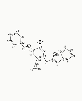 Brc1cc(Cc2cc3ccccc3s2)c(C2CC2)cc1OCc1ccccc1